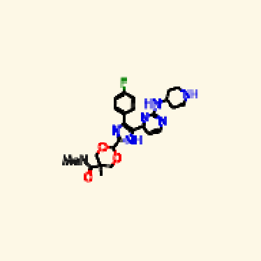 CNC(=O)C1(C)COC(c2nc(-c3ccc(F)cc3)c(-c3ccnc(NC4CCNCC4)n3)[nH]2)OC1